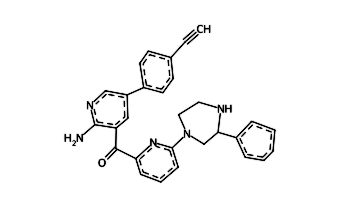 C#Cc1ccc(-c2cnc(N)c(C(=O)c3cccc(N4CCNC(c5ccccc5)C4)n3)c2)cc1